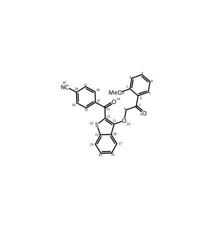 COc1ccccc1C(=O)COc1c(C(=O)c2ccc(C#N)cc2)sc2ccccc12